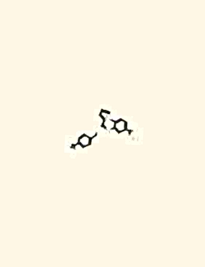 O=C(O)c1ccc2c(c1)nc(OCc1ccc(C(F)(F)F)cc1)c1cccn12